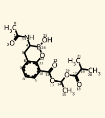 CC(=O)NC1Cc2cccc(C(=O)OC(C)OC(=O)C(C)C)c2OB1O